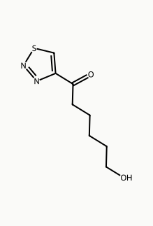 O=C(CCCCCO)c1csnn1